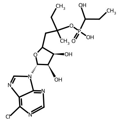 CCC(O)P(=O)(O)OC(C)(CC)CC1O[C@@H](n2cnc3c(Cl)ncnc32)[C@H](O)[C@@H]1O